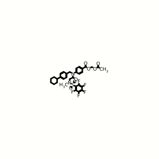 CC(=O)OCOC(=O)c1ccc(N(Cc2ccc(C3CCCCC3)cc2)C(=O)CN(C)S(=O)(=O)c2c(F)c(F)c(F)c(F)c2F)cc1